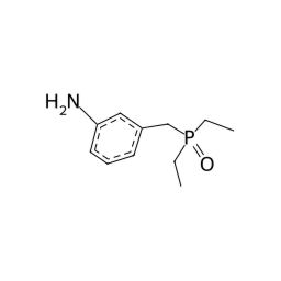 CCP(=O)(CC)Cc1cccc(N)c1